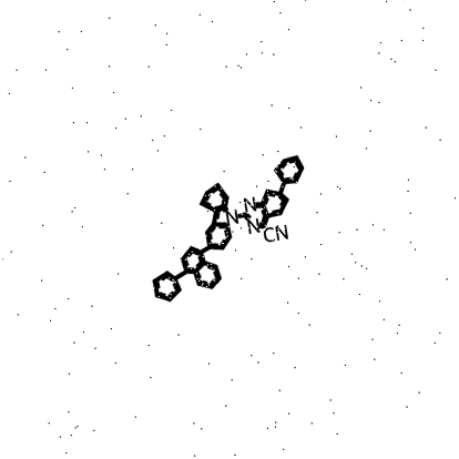 N#Cc1nc(-n2c3ccccc3c3cc(-c4ccc(-c5ccccc5)c5ccccc45)ccc32)nc2cc(-c3ccccc3)ccc12